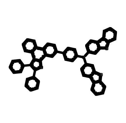 c1ccc(-c2oc3c4cc(-c5ccc(N(c6ccc7c(c6)oc6ccccc67)c6ccc7c(c6)oc6ccccc67)cc5)ccc4c4ccccc4c3c2-c2ccccc2)cc1